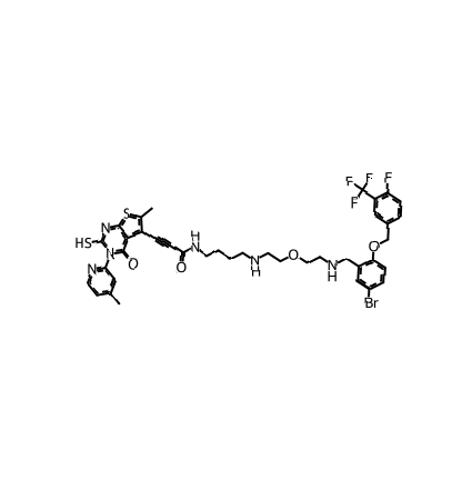 Cc1ccnc(-n2c(S)nc3sc(C)c(C#CC(=O)NCCCCNCCOCCNCc4cc(Br)ccc4OCc4ccc(F)c(C(F)(F)F)c4)c3c2=O)c1